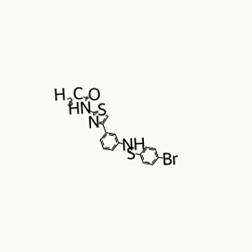 CC(=O)Nc1nc(-c2cccc(NSc3ccc(Br)cc3)c2)cs1